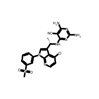 C[C@H](Nc1nc(N)nc(N)c1C#N)c1cn(-c2cccc(S(C)(=O)=O)c2)c2nccc(Cl)c12